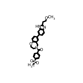 COCCc1nc2ccc(-c3ccc4c(c3)CN(C(=O)c3ccc(S(C)(=O)=O)cc3)CCO4)cc2[nH]1